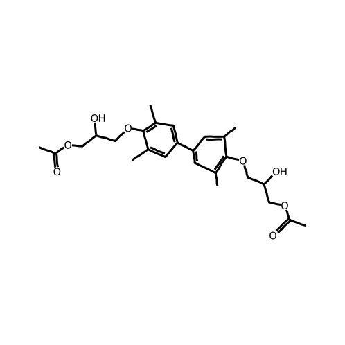 CC(=O)OCC(O)COc1c(C)cc(-c2cc(C)c(OCC(O)COC(C)=O)c(C)c2)cc1C